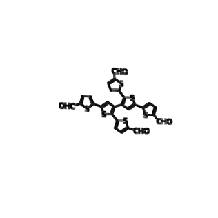 O=Cc1ccc(-c2cc(-c3cc(-c4ccc(C=O)s4)sc3-c3ccc(C=O)s3)c(-c3ccc(C=O)s3)s2)s1